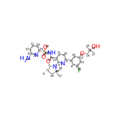 C[C@@H]1CN(c2nc(-c3cc(F)cc(OCC(C)(C)O)c3)ccc2C(=O)NS(=O)(=O)c2cccc(N)n2)C(C)(C)C1